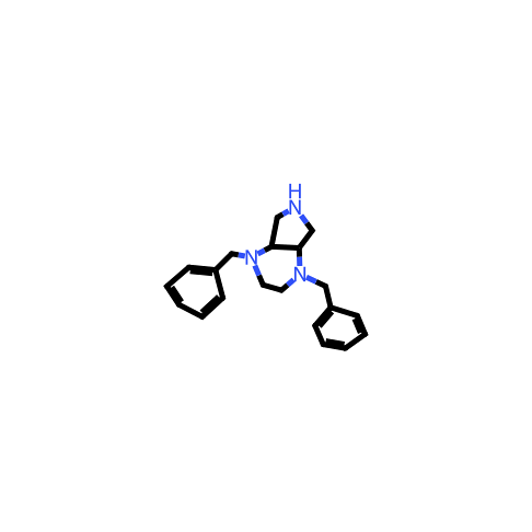 c1ccc(CN2CCN(Cc3ccccc3)C3CNCC32)cc1